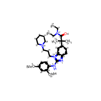 COc1ccc(Nc2nc3ccc(C(C)(C)C(=O)N(CC(C)C)CC(C)C)cc3n2CCCN2CCCCC2)c(OC)c1